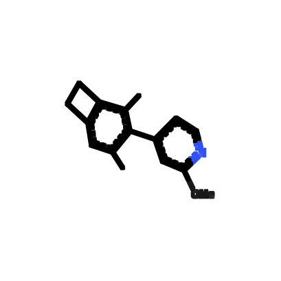 COc1cc(-c2c(C)cc3c(c2C)CC3)ccn1